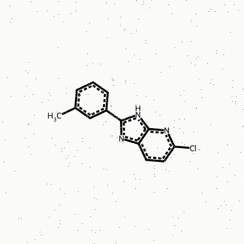 Cc1cccc(-c2nc3ccc(Cl)nc3[nH]2)c1